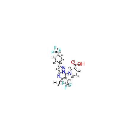 Cc1nc2cc(-c3ccc(C(F)(F)F)cc3)nn2c(N2CCCC(C(=O)O)C2)c1CC(F)(F)F